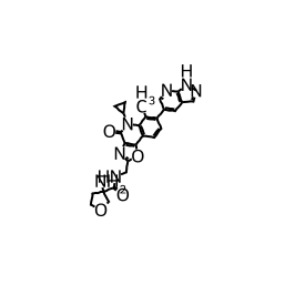 Cc1c(-c2cnc3[nH]ncc3c2)ccc2c3oc(CNC(=O)C4(N)CCOC4)nc3c(=O)n(C3CC3)c12